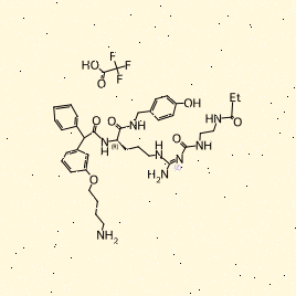 CCC(=O)NCCNC(=O)/N=C(/N)NCCC[C@@H](NC(=O)C(c1ccccc1)c1cccc(OCCCCN)c1)C(=O)NCc1ccc(O)cc1.O=C(O)C(F)(F)F